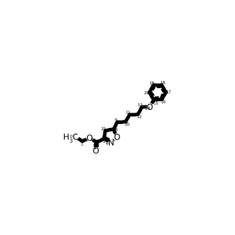 CCOC(=O)C1=NOC(CCCCCOc2ccccc2)C1